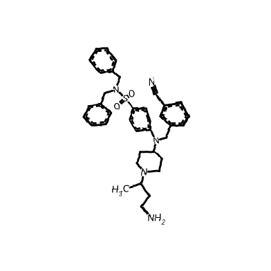 CC(CCN)N1CCC(N(Cc2cccc(C#N)c2)c2ccc(S(=O)(=O)N(Cc3ccccc3)Cc3ccccc3)cc2)CC1